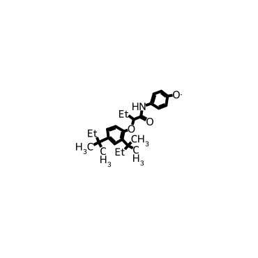 CCC(Oc1ccc(C(C)(C)CC)cc1C(C)(C)CC)C(=O)Nc1ccc([O])cc1